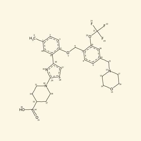 Cc1ccc(OCc2ccc(CN3CCOCC3)cc2OC(F)(F)F)c(-c2csc(N3CCC(C(=O)O)CC3)n2)c1